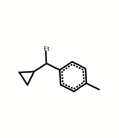 CC[C](c1ccc(C)cc1)C1CC1